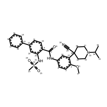 COc1ccc(NC(=O)c2ccc(-c3ccccc3)cc2NS(C)(=O)=O)cc1C1(C#N)CCN(C(C)C)CC1